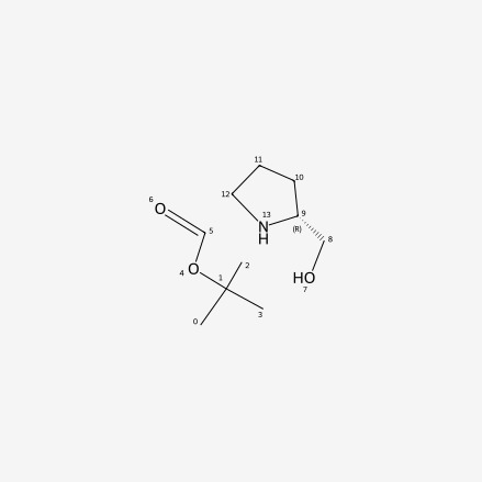 CC(C)(C)OC=O.OC[C@H]1CCCN1